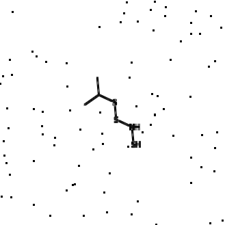 CC(C)SSNS